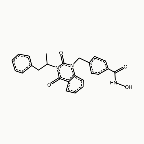 CC(Cc1ccccc1)n1c(=O)c2ccccc2n(Cc2ccc(C(=O)NO)cc2)c1=O